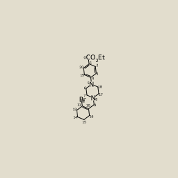 CCOC(=O)c1ccc(N2CCN(CC3=C(Br)CCCC3)CC2)cc1